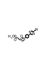 COC(=O)CCN1CCN(c2ccc(-c3cnc(C#N)cn3)cc2)C1=O